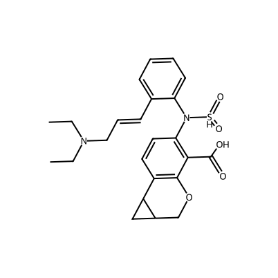 CCN(CC)CC=Cc1ccccc1N(c1ccc2c(c1C(=O)O)OCC1CC21)[SH](=O)=O